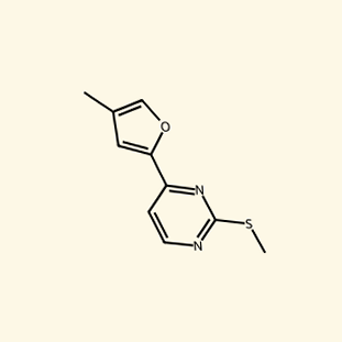 CSc1nccc(-c2cc(C)co2)n1